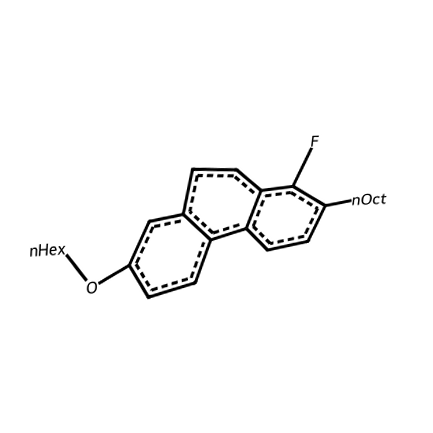 CCCCCCCCc1ccc2c(ccc3cc(OCCCCCC)ccc32)c1F